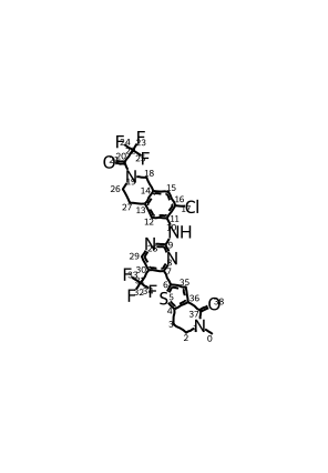 CN1CCc2sc(-c3nc(Nc4cc5c(cc4Cl)CN(C(=O)C(F)(F)F)CC5)ncc3C(F)(F)F)cc2C1=O